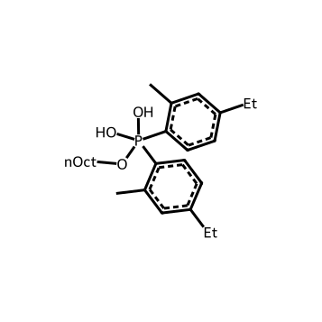 CCCCCCCCOP(O)(O)(c1ccc(CC)cc1C)c1ccc(CC)cc1C